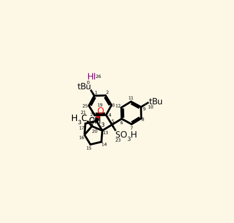 CC(C)(C)c1ccc(C(c2ccc(C(C)(C)C)cc2)(C23CCC(CC2=O)C3(C)C)S(=O)(=O)O)cc1.I